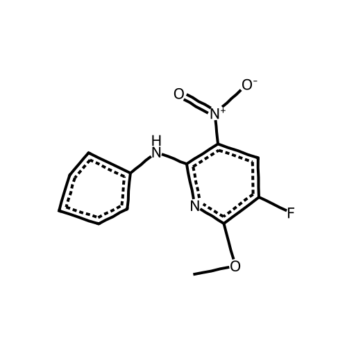 COc1nc(Nc2ccccc2)c([N+](=O)[O-])cc1F